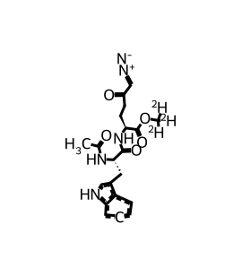 [2H]C([2H])([2H])OC(=O)[C@H](CCC(=O)C=[N+]=[N-])NC(=O)[C@H](Cc1c[nH]c2ccccc12)NC(C)=O